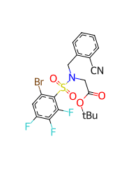 CC(C)(C)OC(=O)CN(Cc1ccccc1C#N)S(=O)(=O)c1c(Br)cc(F)c(F)c1F